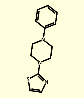 c1ccc(N2CCN(c3nccs3)CC2)cc1